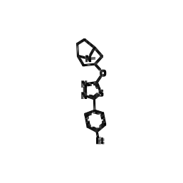 CCc1ccc(-c2nnc(OC3CC4CCC(C3)N4C)s2)cc1